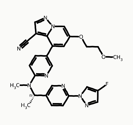 COCCOc1cc(-c2ccc(N(C)[C@@H](C)c3ccc(-n4cc(F)cn4)nc3)nc2)c2c(C#N)cnn2c1